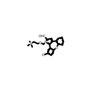 C[Si](C)(C)CCOCn1c(C=O)cc2c1-c1cc(Cl)ccc1Oc1ccccc1-2